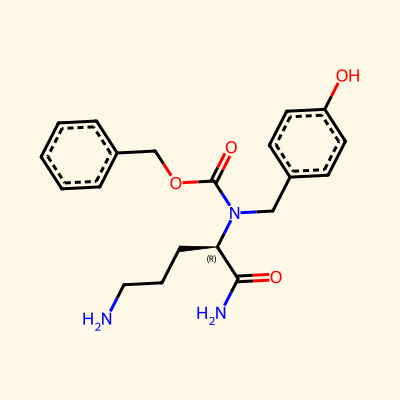 NCCC[C@H](C(N)=O)N(Cc1ccc(O)cc1)C(=O)OCc1ccccc1